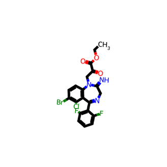 CCOC(=O)C(=O)CN1C(=N)CN=C(c2c(F)cccc2F)c2c1ccc(Br)c2Cl